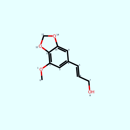 COc1cc(/C=C/CO)cc2c1OCO2